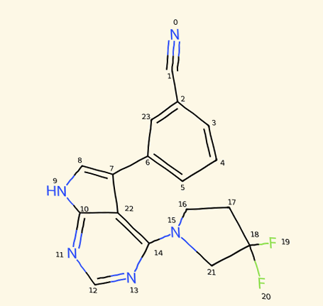 N#Cc1cccc(-c2c[nH]c3ncnc(N4CCC(F)(F)C4)c23)c1